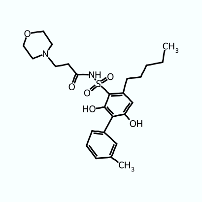 CCCCCc1cc(O)c(-c2cccc(C)c2)c(O)c1S(=O)(=O)NC(=O)CCN1CCOCC1